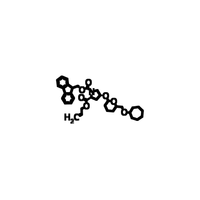 C=CCOC(=O)[C@@H]1C[C@@H](OC2CCCC(COC3CCCCCC3)O2)CN1C(=O)OCC1c2ccccc2-c2ccccc21